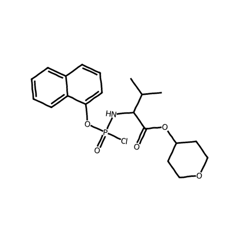 CC(C)C(NP(=O)(Cl)Oc1cccc2ccccc12)C(=O)OC1CCOCC1